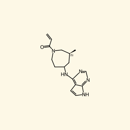 C=CC(=O)N1CCC(Nc2ncnc3[nH]ccc23)C[C@H](C)C1